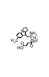 Cc1ccc2c(c1)c(CC(C)N)c1n2CCC1.O=C(O)C=CC(=O)O